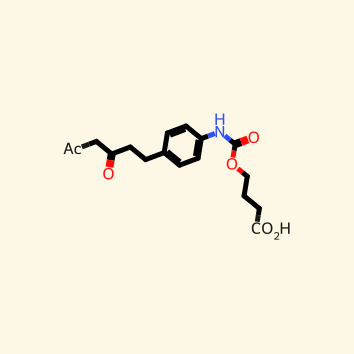 CC(=O)CC(=O)CCc1ccc(NC(=O)OCCCC(=O)O)cc1